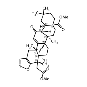 COC(=O)C[C@]1(C)c2oncc2C[C@]2(C)C3=CC(=O)[C@@H]4[C@@H]5CC(C)(C)CC[C@]5(C(=O)OC)CC[C@@]4(C)[C@]3(C)CC[C@H]21